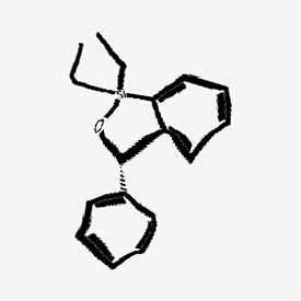 CC[Si]1(CC)O[C@@H](c2ccccc2)c2ccccc21